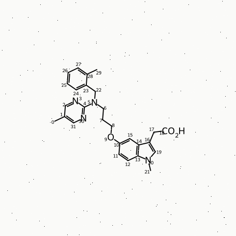 Cc1cnc(N(CCCOc2ccc3c(c2)c(CC(=O)O)cn3C)Cc2ccccc2C)nc1